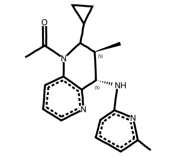 CC(=O)N1c2cccnc2[C@@H](Nc2cccc(C)n2)[C@H](C)C1C1CC1